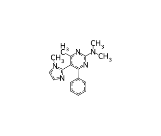 Cc1nc(N(C)C)nc(-c2ccccc2)c1-c1nccn1C